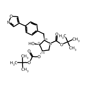 CC(C)(C)OC(=O)O[C@H]1CN(C(=O)OC(C)(C)C)[C@H](Cc2ccc(-c3cnoc3)cc2)[C@@H]1O